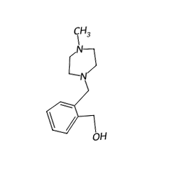 CN1CCN(Cc2ccccc2CO)CC1